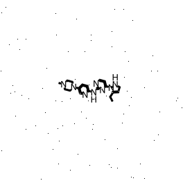 CCC1=CCNN1c1ccnc(Nc2ccc(N3CCN(C)CC3)cn2)n1